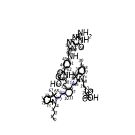 CCCCCN1/C(=C/C=C2\CCCC(/C=C/C3=[N+](CCCCS(=O)(=O)O)c4ccc(C)cc4C3(C)C)=C2SC[C@H](NC(=O)c2ccc(NCc3cnc4nc(N)[nH]c(=O)c4n3)cc2)C(=O)O)C(C)(C)c2ccccc21